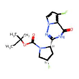 CC(C)(C)OC(=O)N1C[C@@H](F)C[C@H]1c1nn2ccc(F)c2c(=O)[nH]1